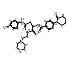 O=C(CC(NC(=O)c1ccc(N2CCCCC2=O)cc1)C(=O)NCCN1CCOCC1)Nc1ccc(Cl)cc1